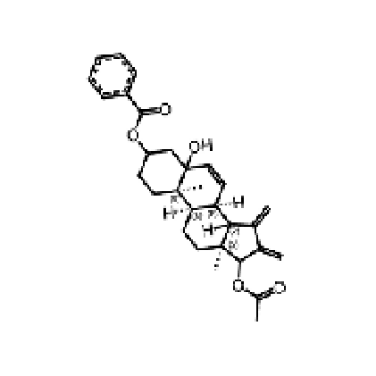 C=C1C(=C)[C@H]2[C@@H]3C=CC4(O)CC(OC(=O)c5ccccc5)CC[C@]4(C)[C@@H]3CC[C@]2(C)C1OC(C)=O